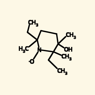 CCC1(C)CCC(C)(O)C(C)(CC)N1[O]